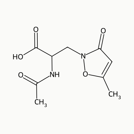 CC(=O)NC(Cn1oc(C)cc1=O)C(=O)O